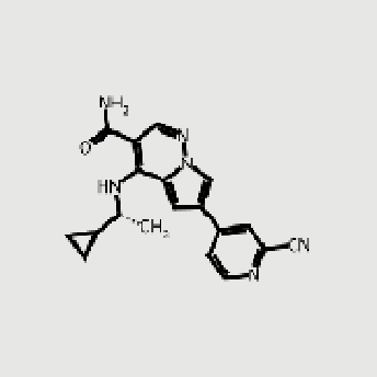 C[C@@H](Nc1c(C(N)=O)cnn2cc(-c3ccnc(C#N)c3)cc12)C1CC1